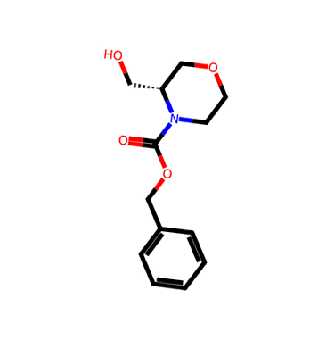 O=C(OCc1ccccc1)N1CCOC[C@H]1CO